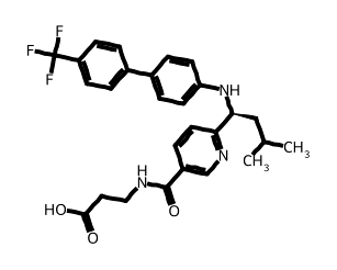 CC(C)C[C@H](Nc1ccc(-c2ccc(C(F)(F)F)cc2)cc1)c1ccc(C(=O)NCCC(=O)O)cn1